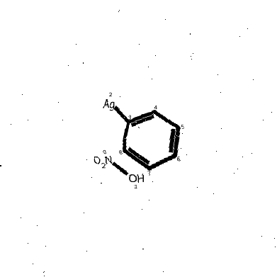 O=[N+]([O-])O.[Ag][c]1ccccc1